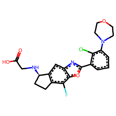 O=C(O)CN[C@@H]1CCc2c1cc1nc(-c3cccc(N4CCOCC4)c3Cl)oc1c2F